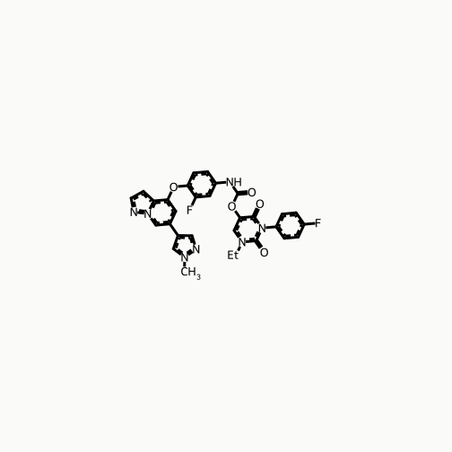 CCn1cc(OC(=O)Nc2ccc(Oc3cc(-c4cnn(C)c4)cn4nccc34)c(F)c2)c(=O)n(-c2ccc(F)cc2)c1=O